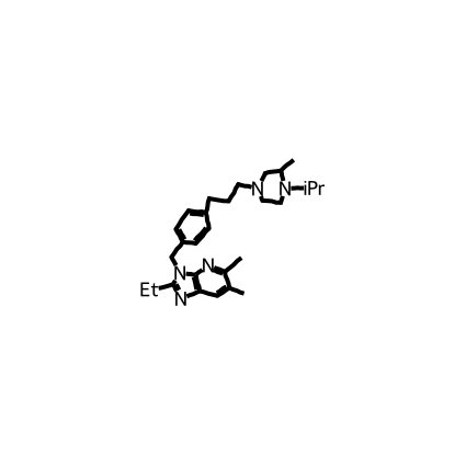 CCc1nc2cc(C)c(C)nc2n1Cc1ccc(CCCN2CCN(C(C)C)C(C)C2)cc1